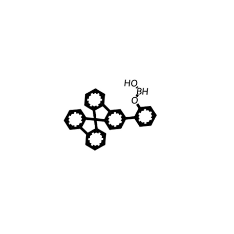 OBOc1ccccc1-c1ccc2c(c1)-c1ccccc1C21c2ccccc2-c2ccccc21